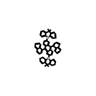 CC1(C)C2=C(CCC=C2)N(c2ccc3c(-c4cccc5ccccc45)c4cc(N5c6ccccc6C(C)(C)c6ccccc65)ccc4c(-c4cccc5ccccc45)c3c2)C2=C1CCC=C2